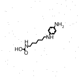 Nc1ccc(NCCCCCCNC(=O)O)cc1